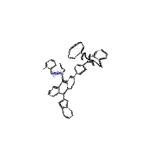 Cc1ccccc1/C=C(\CI)c1c2ccccc2c(C2=C=c3ccccc3=C2)c2ccc(-c3ccc(-c4nc5ccccc5n4-c4ccccc4)cc3)cc12